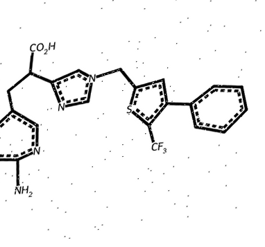 Nc1ccc(CC(C(=O)O)c2cn(Cc3cc(-c4ccccc4)c(C(F)(F)F)s3)cn2)cn1